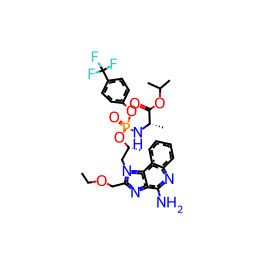 CCOCc1nc2c(N)nc3ccccc3c2n1C[C@@H](C)OP(=O)(N[C@@H](C)C(=O)OC(C)C)Oc1ccc(C(F)(F)F)cc1